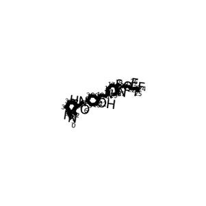 Cn1cc2c(C(=O)N[C@H]3CC[C@](O)(CCN4CCc5sc(OCC(F)(F)F)nc5C4)CC3)cccc2n1